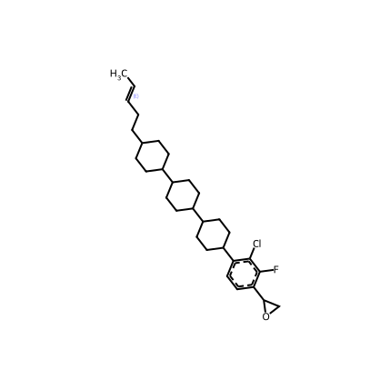 C/C=C/CCC1CCC(C2CCC(C3CCC(c4ccc(C5CO5)c(F)c4Cl)CC3)CC2)CC1